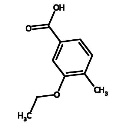 CCOc1cc(C(=O)O)ccc1C